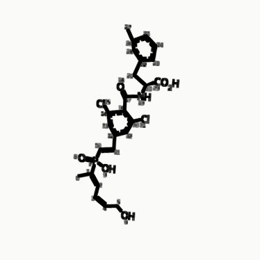 C/C(=C\C=C/CO)P(=O)(O)/C=C/c1cc(Cl)c(C(=O)N[C@@H](Cc2cccc(C)c2)C(=O)O)c(Cl)c1